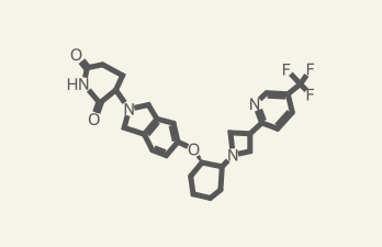 O=C1CCC(N2Cc3ccc(O[C@@H]4CCCCC4N4CC(c5ccc(C(F)(F)F)cn5)C4)cc3C2)C(=O)N1